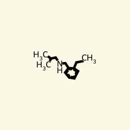 CCCc1ccccc1CNCC(C)C